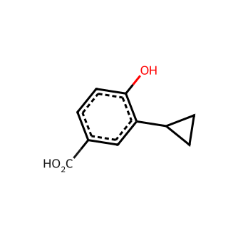 O=C(O)c1ccc(O)c(C2CC2)c1